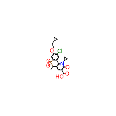 CC1c2cc(C(=O)O)c(=O)n(C3CC3)c2-c2cc(Cl)c(OCCC3CC3)cc2S1(=O)=O